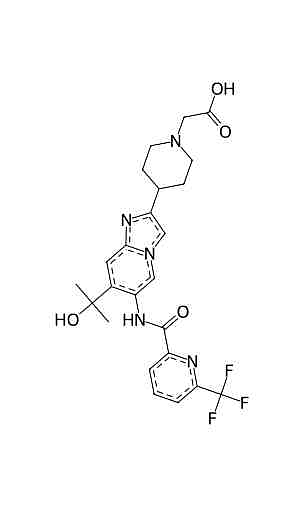 CC(C)(O)c1cc2nc(C3CCN(CC(=O)O)CC3)cn2cc1NC(=O)c1cccc(C(F)(F)F)n1